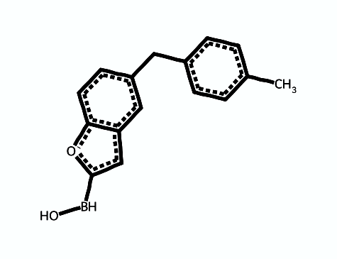 Cc1ccc(Cc2ccc3oc(BO)cc3c2)cc1